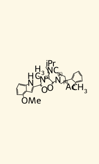 COc1cccc2[nH]c(C(=O)N(C)[C@@H](CCC(C)C)C(=O)N3C[C@](C(C)=O)(c4ccccc4C)C[C@H]3C#N)cc12